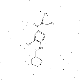 O=C(c1ccc(NCC2CCCCO2)c([N+](=O)[O-])c1)N(CC(F)(F)F)CC(F)(F)F